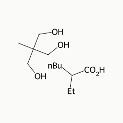 CC(CO)(CO)CO.CCCCC(CC)C(=O)O